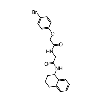 O=C(COc1ccc(Br)cc1)NCC(=O)NC1CCCc2ccccc21